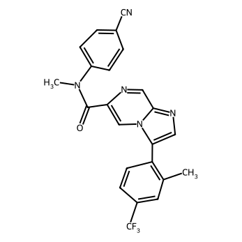 Cc1cc(C(F)(F)F)ccc1-c1cnc2cnc(C(=O)N(C)c3ccc(C#N)cc3)cn12